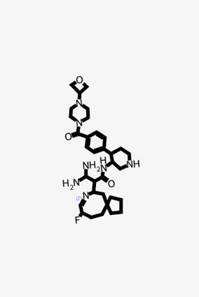 NC(N)C(C(=O)NC1CNCCC1c1ccc(C(=O)N2CCN(C3COC3)CC2)cc1)C1CC2(CCCC2)CCC(F)/C=N\1